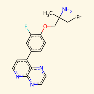 CC(C)CC(C)(N)COc1ccc(-c2ccnc3nccnc23)cc1F